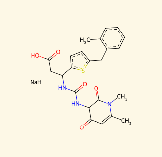 CC1=CC(=O)C(NC(=O)NC(CC(=O)O)c2ccc(Cc3ccccc3C)s2)C(=O)N1C.[NaH]